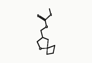 CSC(=S)OCC1COC2(CCC2)C1